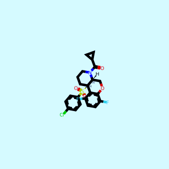 O=C(C1CC1)N1CCC[C@]2(S(=O)(=O)c3ccc(Cl)cc3)c3c(F)ccc(F)c3OC[C@H]12